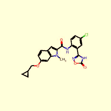 Cn1c(C(=O)Nc2ccc(Cl)cc2-c2noc(=O)[nH]2)cc2ccc(OCC3CC3)cc21